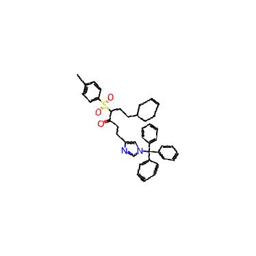 Cc1ccc(S(=O)(=O)C(CCC2CCCCC2)C(=O)CCc2cn(C(c3ccccc3)(c3ccccc3)c3ccccc3)cn2)cc1